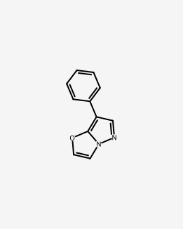 c1ccc(-c2cnn3ccoc23)cc1